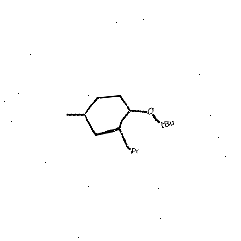 CC1CCC(OC(C)(C)C)C(C(C)C)C1